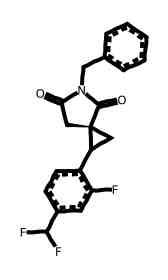 O=C1C[C@]2(CC2c2ccc(C(F)F)cc2F)C(=O)N1Cc1ccccc1